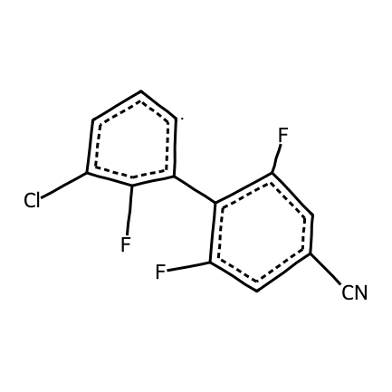 N#Cc1cc(F)c(-c2[c]ccc(Cl)c2F)c(F)c1